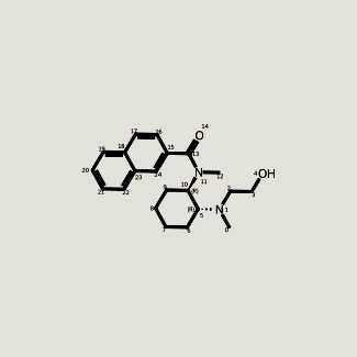 CN(CCO)[C@@H]1CCCC[C@H]1N(C)C(=O)c1ccc2ccccc2c1